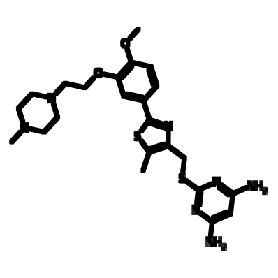 COc1ccc(-c2nc(CSc3nc(N)cc(N)n3)c(C)s2)cc1OCCN1CCN(C)CC1